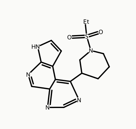 CCS(=O)(=O)N1CCCC(c2ncnc3cnc4[nH]ccc4c23)C1